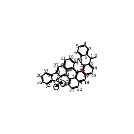 CC1c2ccccc2N(c2ccccc2-c2cccc3cccc(-c4cccc5c4S(=O)(=O)c4ccccc4-5)c23)c2ccccc21